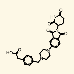 O=C(O)Cc1ccc(CN2CCN(c3ccc4c(c3)C(=O)N(C3CCC(=O)NC3=O)C4=O)CC2)cc1